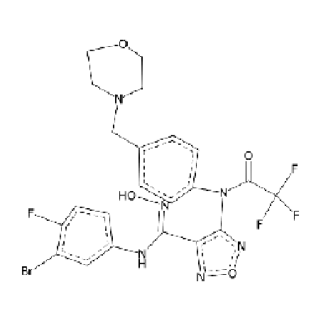 O=C(N(c1ccc(CN2CCOCC2)cc1)c1nonc1C(=NO)Nc1ccc(F)c(Br)c1)C(F)(F)F